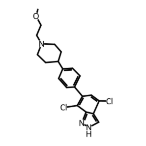 COCCN1CCC(c2ccc(-c3cc(Cl)c4c[nH]nc4c3Cl)cc2)CC1